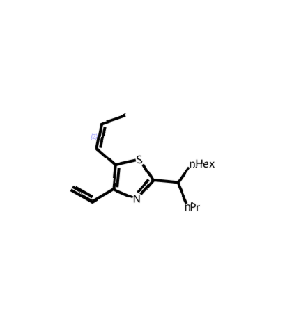 C=Cc1nc(C(CCC)CCCCCC)sc1/C=C\C